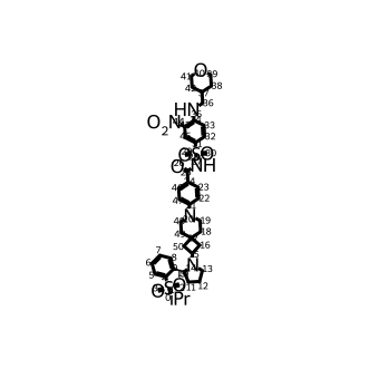 CC(C)S(=O)(=O)c1ccccc1[C@@H]1CCCN1C1CC2(CCN(c3ccc(C(=O)NS(=O)(=O)c4ccc(NCC5CCOCC5)c([N+](=O)[O-])c4)cc3)CC2)C1